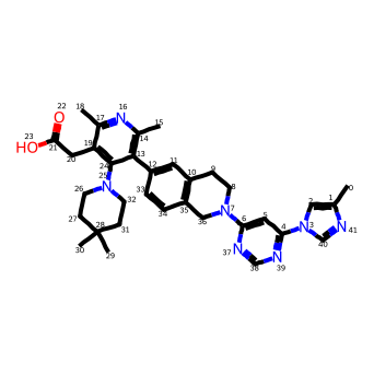 Cc1cn(-c2cc(N3CCc4cc(-c5c(C)nc(C)c(CC(=O)O)c5N5CCC(C)(C)CC5)ccc4C3)ncn2)cn1